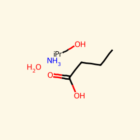 CC(C)O.CCCC(=O)O.N.O